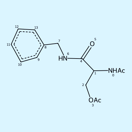 CC(=O)NC(COC(C)=O)C(=O)NCc1ccccc1